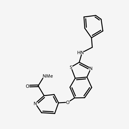 CNC(=O)c1cc(Oc2ccc3nc(NCc4ccccc4)sc3c2)ccn1